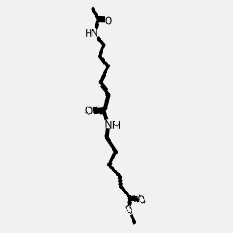 COC(=O)CCCCCNC(=O)CCCCCNC(C)=O